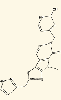 Cn1c2nc(Cc3cc[nH]n3)sc2c2cnn(CC3=CC(O)NC=C3)c(=O)c21